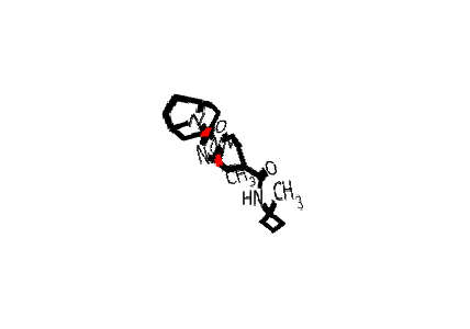 Cc1noc(N2C3CCC2CC(N2CCC(C(=O)NC4(C)CCC4)CC2)C3)n1